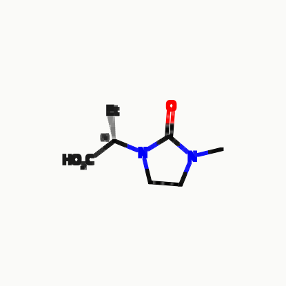 CC[C@@H](C(=O)O)N1CCN(C)C1=O